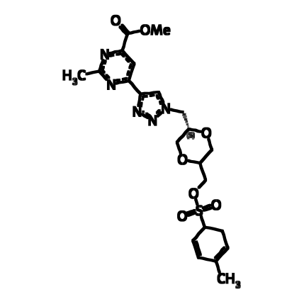 COC(=O)c1cc(-c2cn(C[C@H]3COC(COS(=O)(=O)C4C=CC(C)=CC4)CO3)nn2)nc(C)n1